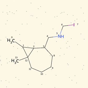 CC1C2C(CNCI)CCCCC12C